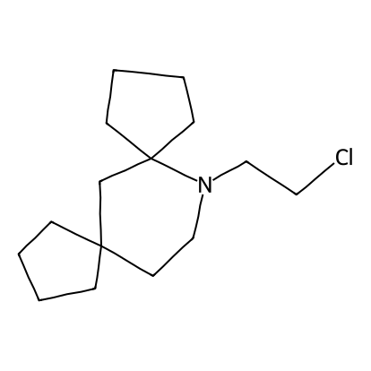 ClCCN1CCC2(CCCC2)CC12CCCC2